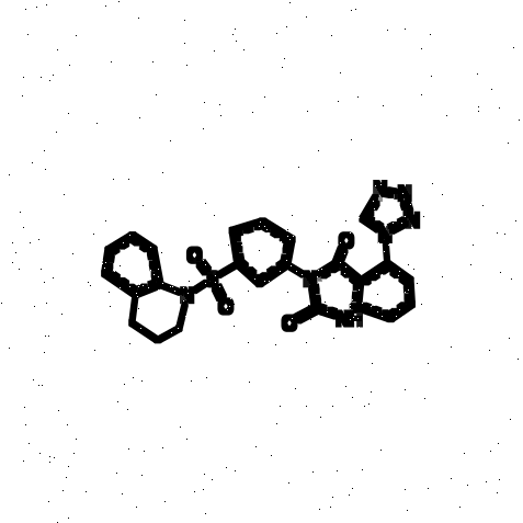 O=c1[nH]c2cccc(-n3cnnn3)c2c(=O)n1-c1cccc(S(=O)(=O)N2CCCc3ccccc32)c1